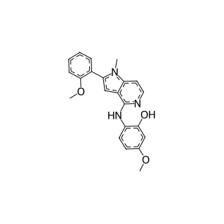 COc1ccc(Nc2nccc3c2cc(-c2ccccc2OC)n3C)c(O)c1